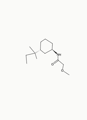 CCC(C)(C)[C@@H]1CCC[C@@H](NC(=O)COC)C1